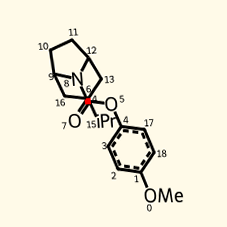 COc1ccc(OC(=O)N2C3CCC2CC(C(C)C)C3)cc1